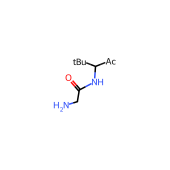 CC(=O)C(NC(=O)CN)C(C)(C)C